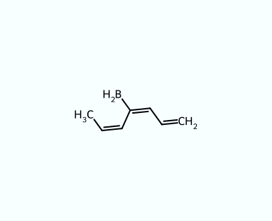 BC(/C=C\C)=C/C=C